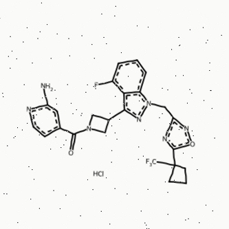 Cl.Nc1cc(C(=O)N2CC(c3nn(Cc4noc(C5(C(F)(F)F)CCC5)n4)c4cccc(F)c34)C2)ccn1